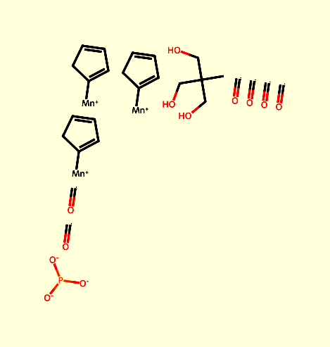 CC(CO)(CO)CO.[C]=O.[C]=O.[C]=O.[C]=O.[C]=O.[C]=O.[Mn+][C]1=CC=CC1.[Mn+][C]1=CC=CC1.[Mn+][C]1=CC=CC1.[O-]P([O-])[O-]